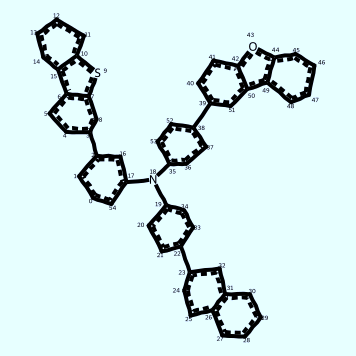 c1cc(-c2ccc3c(c2)sc2ccccc23)cc(N(c2ccc(-c3ccc4ccccc4c3)cc2)c2ccc(-c3ccc4oc5ccccc5c4c3)cc2)c1